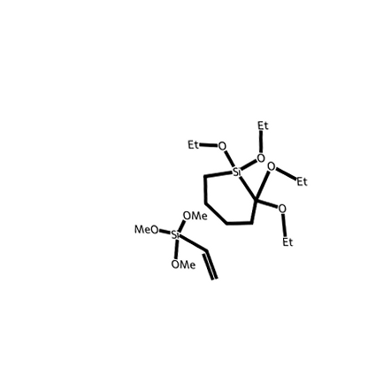 C=C[Si](OC)(OC)OC.CCOC1(OCC)CCCC[Si]1(OCC)OCC